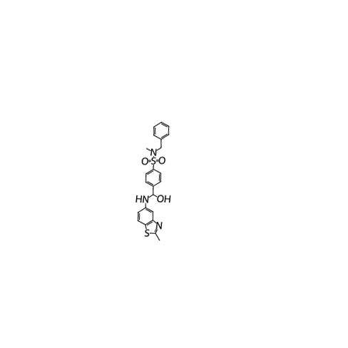 Cc1nc2cc(NC(O)c3ccc(S(=O)(=O)N(C)Cc4ccccc4)cc3)ccc2s1